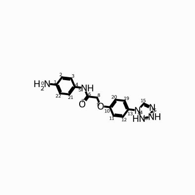 Nc1ccc(NC(=O)COc2ccc(N3C=NNN3)cc2)cc1